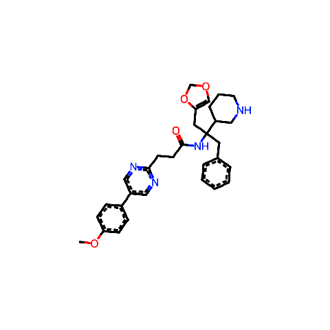 COc1ccc(-c2cnc(CCC(=O)NC(CC3=COCO3)(Cc3ccccc3)C3CCCNC3)nc2)cc1